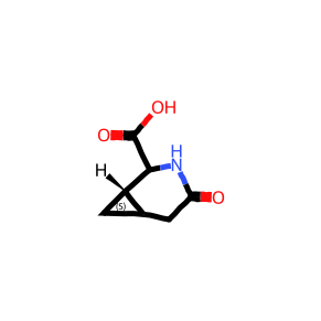 O=C1CC2C[C@@H]2C(C(=O)O)N1